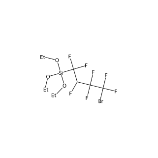 CCO[Si](OCC)(OCC)C(F)(F)C(F)C(F)(F)C(F)(F)Br